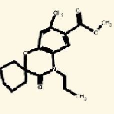 CCCN1C(=O)C2(CCCCC2)Oc2cc(C)c(C(=O)OC)cc21